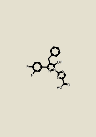 O=C(O)c1csc(-n2nc(-c3ccc(F)c(F)c3)c(Cc3ccccc3)c2O)n1